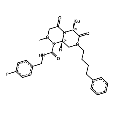 CCC(C)[C@H]1C(=O)N(CCCCc2ccccc2)C[C@H]2N1C(=O)CN(C)N2C(=O)NCc1ccc(F)cc1